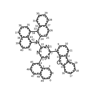 c1ccc2c(-c3nc(-c4cccc5c4oc4ccccc45)nc(N4c5ccc6ccccc6c5-c5cccc6cccc4c56)n3)cccc2c1